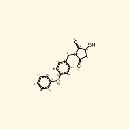 O=C1CC(S)C(=O)N1Cc1ccc(Oc2ccccc2)cc1